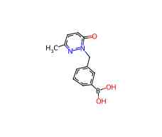 Cc1ccc(=O)n(Cc2cccc(B(O)O)c2)n1